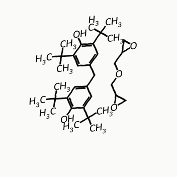 C(OCC1CO1)C1CO1.CC(C)(C)c1cc(Cc2cc(C(C)(C)C)c(O)c(C(C)(C)C)c2)cc(C(C)(C)C)c1O